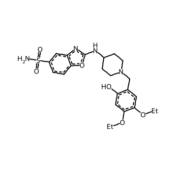 CCOc1cc(O)c(CN2CCC(Nc3nc4cc(S(N)(=O)=O)ccc4o3)CC2)cc1OCC